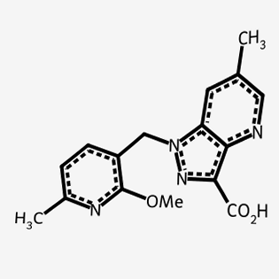 COc1nc(C)ccc1Cn1nc(C(=O)O)c2ncc(C)cc21